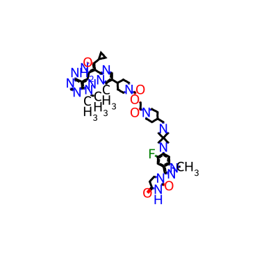 Cc1nc(-c2c(-c3nn(C(C)C)c4ncnc(N)c34)noc2C2CC2)ncc1C1CCN(C(=O)OCC(=O)N2CCC(CN3CC4(C3)CN(c3cc5c(cc3F)c(N3CCC(=O)NC3=O)nn5C)C4)CC2)CC1